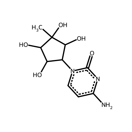 CC1(O)C(O)C(O)C(n2ccc(N)nc2=O)C1O